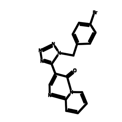 O=c1c(-c2nnnn2Cc2ccc(Br)cc2)cnc2ccccn12